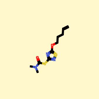 C=CCCCOc1nc(SC(=O)N(C)C)ns1